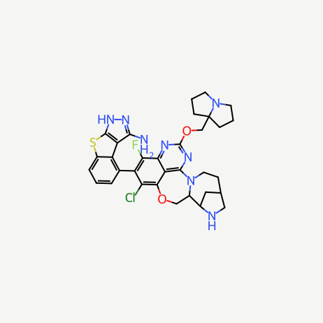 Nc1n[nH]c2sc3cccc(-c4c(Cl)c5c6c(nc(OCC78CCCN7CCC8)nc6c4F)N4CCC6CNC(C6)C4CO5)c3c12